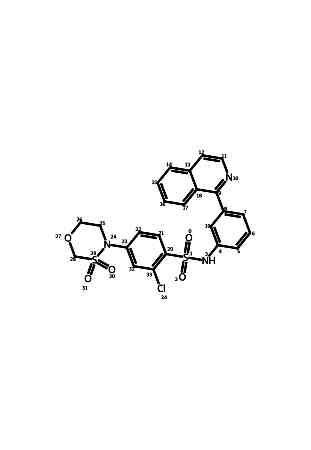 O=S(=O)(Nc1cccc(-c2nccc3ccccc23)c1)c1ccc(N2CCOCS2(=O)=O)cc1Cl